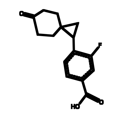 O=C1CCC2(CC1)CC2c1ccc(C(=O)O)cc1F